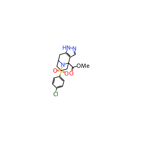 COC(=O)C12CCCC(Cc3[nH]ncc31)N2S(=O)(=O)c1ccc(Cl)cc1